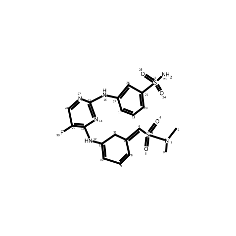 CN(C)S(=O)(=O)C=C1C=CC=C(Nc2nc(Nc3cccc(S(N)(=O)=O)c3)ncc2F)C1